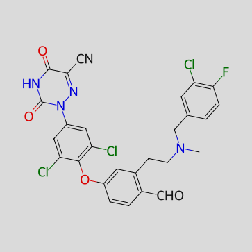 CN(CCc1cc(Oc2c(Cl)cc(-n3nc(C#N)c(=O)[nH]c3=O)cc2Cl)ccc1C=O)Cc1ccc(F)c(Cl)c1